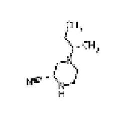 CC[C@H](C)N1CCN[C@H](C#N)C1